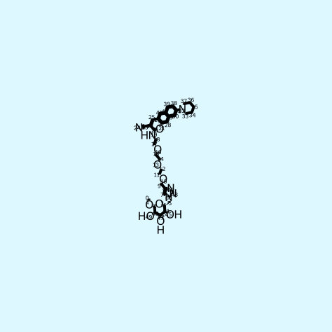 CO[C@H]1O[C@H](Cn2cc(COCCOCCOCCNC(=O)/C(C#N)=C\c3ccc4cc(N5CCCCC5)ccc4c3)nn2)[C@H](O)[C@H](O)[C@H]1O